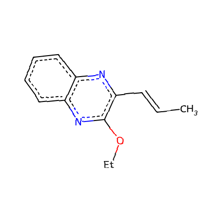 C/C=C/c1nc2ccccc2nc1OCC